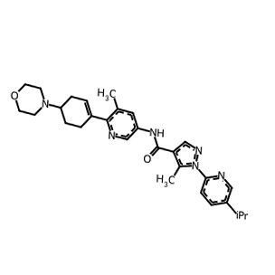 Cc1cc(NC(=O)c2cnn(-c3ccc(C(C)C)cn3)c2C)cnc1C1=CCC(N2CCOCC2)CC1